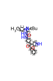 Cc1ccc(-n2nc(C(C)(C)C)cc2NC(=O)Nc2ccc(C(C(=O)c3cc4ccccc4o3)C3CCNCC3)cc2)cc1